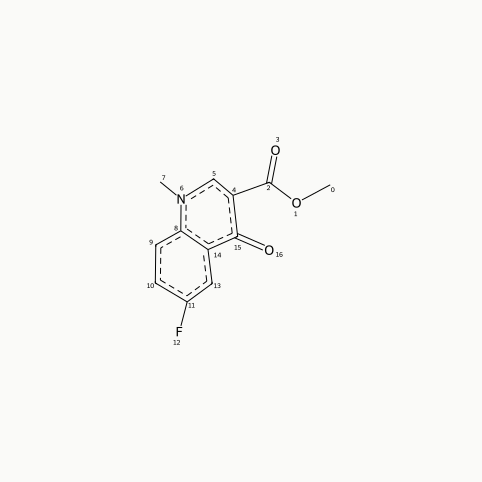 COC(=O)c1cn(C)c2ccc(F)cc2c1=O